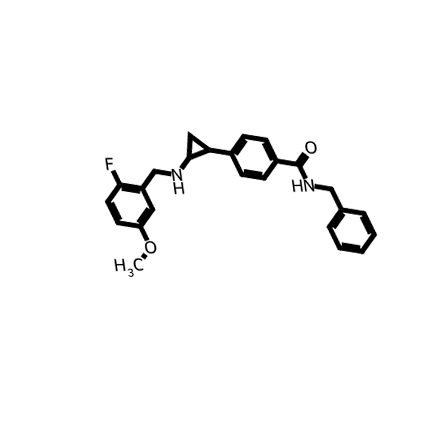 COc1ccc(F)c(CNC2CC2c2ccc(C(=O)NCc3ccccc3)cc2)c1